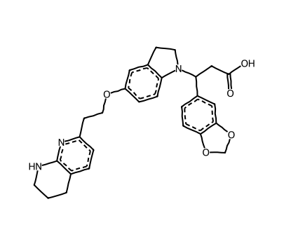 O=C(O)CC(c1ccc2c(c1)OCO2)N1CCc2cc(OCCc3ccc4c(n3)NCCC4)ccc21